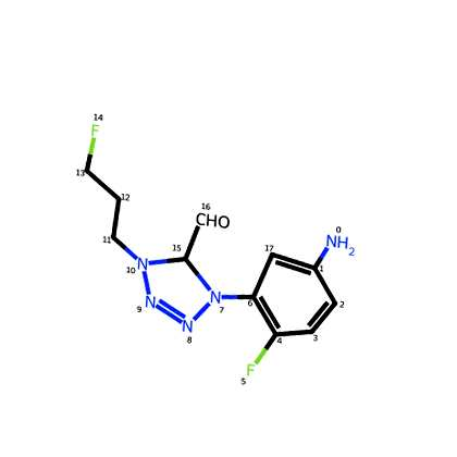 Nc1ccc(F)c(N2N=NN(CCCF)C2C=O)c1